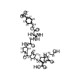 C[C@H]1C(S[C@H]2C[C@@H](C(=O)N3CC[C@H](NC(=O)CNC(=N)NC(=O)OCc4ccc([N+](=O)[O-])cc4)C3)N(C)C2)=C(C(=O)O)N2C(=O)[C@@H](CCO)[C@@H]12